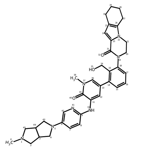 CN1CC2CN(c3ccc(Nc4cc(-c5cccc(N6CCn7c(cc8c7CCCC8)C6=O)c5CO)cn(C)c4=O)nc3)CC2C1